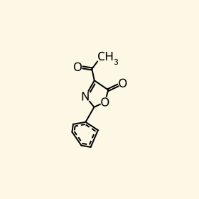 CC(=O)C1=NC(c2ccccc2)OC1=O